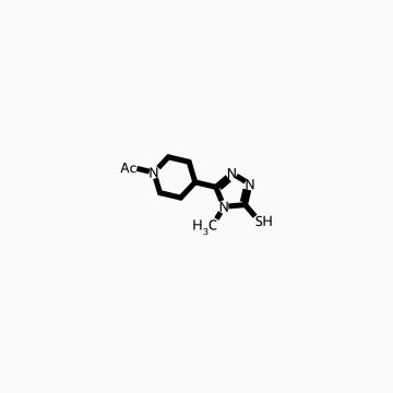 CC(=O)N1CCC(c2nnc(S)n2C)CC1